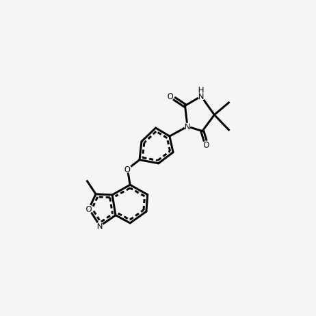 Cc1onc2cccc(Oc3ccc(N4C(=O)NC(C)(C)C4=O)cc3)c12